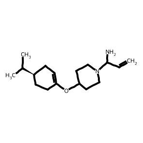 C=CC(N)N1CCC(OC2=CC[C@H](C(C)C)CC2)CC1